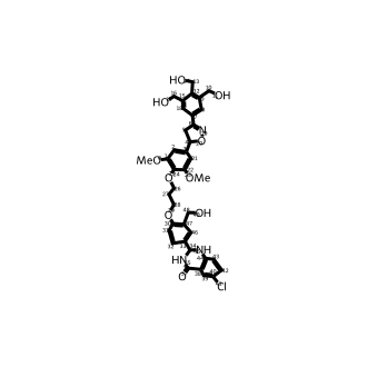 COc1cc(C2CC(c3cc(CO)c(CO)c(CO)c3)=NO2)cc(OC)c1OCCCOc1ccc(C2NC(=O)c3cc(Cl)ccc3N2)cc1CO